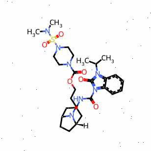 CC(C)n1c(=O)n(C(=O)NC2CC3CC[C@@H](C2)N3CCCOC(=O)N2CCN(S(=O)(=O)N(C)C)CC2)c2ccccc21